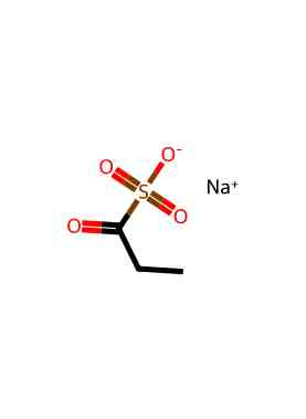 CCC(=O)S(=O)(=O)[O-].[Na+]